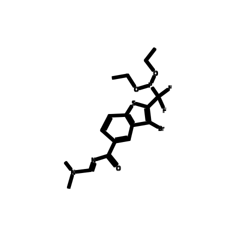 CCOP(OCC)C(F)(F)c1sc2ccc(C(=O)/N=C/N(C)C)cc2c1Br